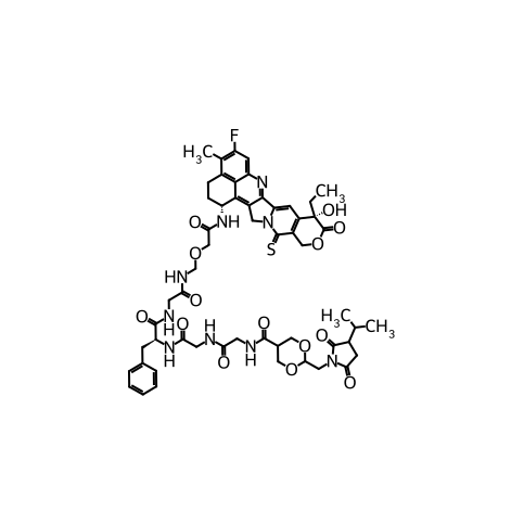 CC[C@@]1(O)C(=O)OCc2c1cc1n(c2=S)Cc2c-1nc1cc(F)c(C)c3c1c2[C@H](NC(=O)COCNC(=O)CNC(=O)[C@H](Cc1ccccc1)NC(=O)CNC(=O)CNC(=O)C1COC(CN2C(=O)CC(C(C)C)C2=O)OC1)CC3